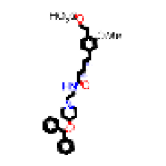 COc1cc(/C=C/C=C/C(=O)NCCN2CCC(OC(c3ccccc3)c3ccccc3)CC2)ccc1CCOC(=O)O